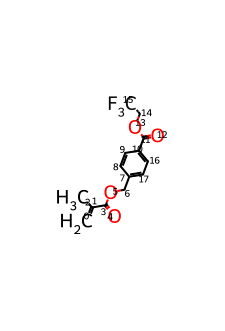 C=C(C)C(=O)OCc1ccc(C(=O)OCC(F)(F)F)cc1